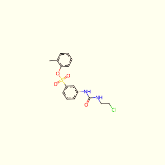 Cc1ccccc1OS(=O)(=O)c1cccc(NC(=O)NCCCl)c1